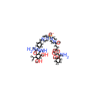 CC(C)c1cc(C(=N)N(C(N)=O)c2ccc(CN3CCN([S+]([O-])N4CCN(C(=O)CCC(=O)O[C@@H](C(=O)O)[C@@H](N)c5ccccc5)CC4)CC3)cc2)c(O)cc1O